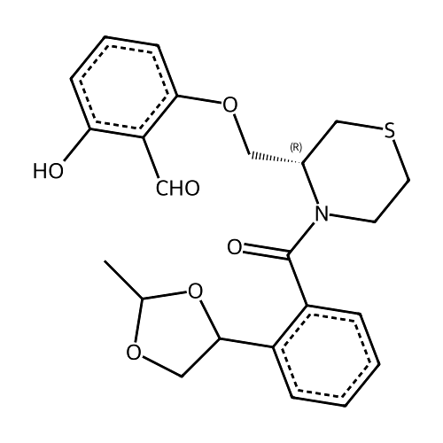 CC1OCC(c2ccccc2C(=O)N2CCSC[C@H]2COc2cccc(O)c2C=O)O1